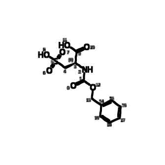 O=C(N[C@@H](CS(=O)(=O)O)C(=O)O)OCc1ccccc1